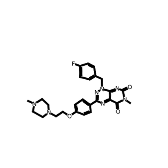 CN1CCN(CCOc2ccc(-c3nc4c(=O)n(C)c(=O)nc-4n(Cc4ccc(F)cc4)n3)cc2)CC1